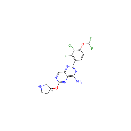 Nc1nc(-c2ccc(OC(F)F)c(Cl)c2F)nc2cnc(O[C@H]3CCNC3)nc12